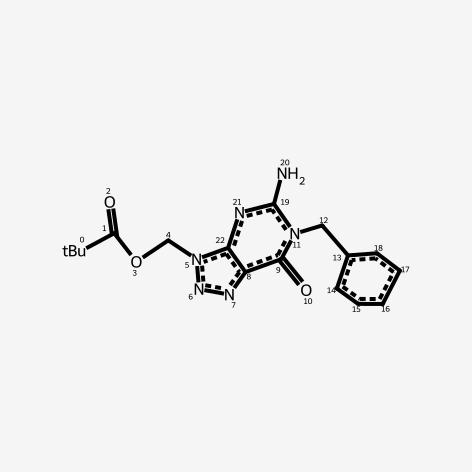 CC(C)(C)C(=O)OCn1nnc2c(=O)n(Cc3ccccc3)c(N)nc21